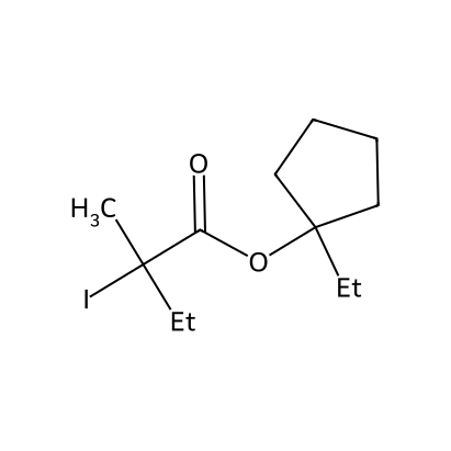 CCC1(OC(=O)C(C)(I)CC)CCCC1